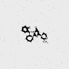 C[C@@H]1CN(c2cc(=O)[nH]c(N3CCCCC[C@H]3Cc3ccccc3F)n2)CCO1